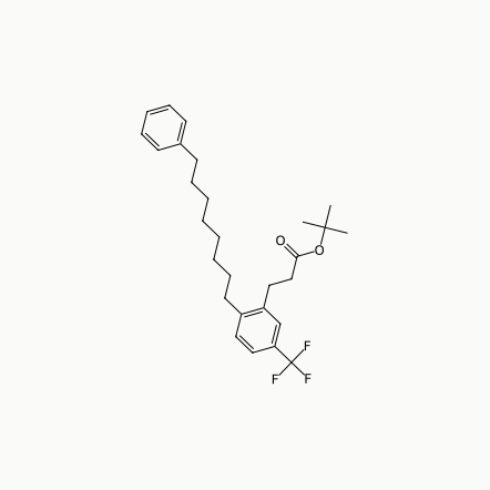 CC(C)(C)OC(=O)CCc1cc(C(F)(F)F)ccc1CCCCCCCCc1ccccc1